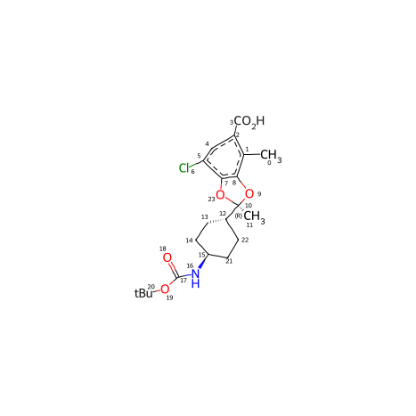 Cc1c(C(=O)O)cc(Cl)c2c1O[C@@](C)([C@H]1CC[C@H](NC(=O)OC(C)(C)C)CC1)O2